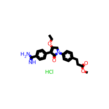 CCOC1=C(c2ccc(C(=N)N)cc2)C(=O)N(c2ccc(CCC(=O)OC)cc2)C1.Cl